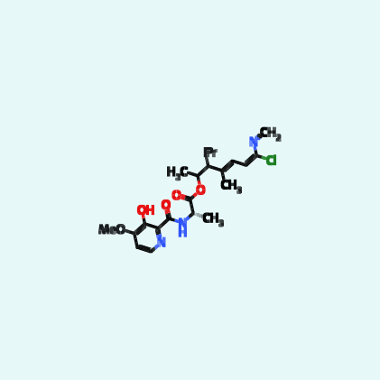 C=N/C(Cl)=C\C=C(/C)C(C(C)C)C(C)OC(=O)[C@H](C)NC(=O)c1nccc(OC)c1O